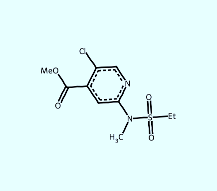 CCS(=O)(=O)N(C)c1cc(C(=O)OC)c(Cl)cn1